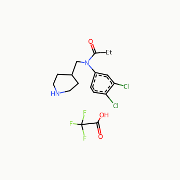 CCC(=O)N(CC1CCNCC1)c1ccc(Cl)c(Cl)c1.O=C(O)C(F)(F)F